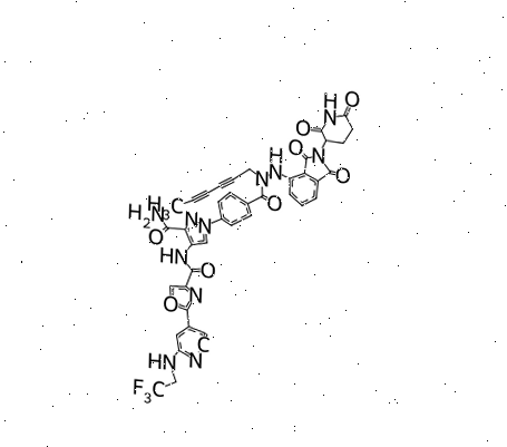 CC#CC#CCN(Nc1cccc2c1C(=O)N(C1CCC(=O)NC1=O)C2=O)C(=O)c1ccc(-n2cc(NC(=O)c3coc(-c4ccnc(NCC(F)(F)F)c4)n3)c(C(N)=O)n2)cc1